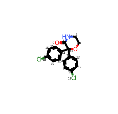 O=C1NCCOC1(c1ccc(Cl)cc1)c1ccc(Cl)cc1